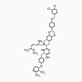 C=C(/C=C\C=C(/N)CN1Cc2cc3c(cc2CC1C(=O)NC(Cc1ccc(Oc2ccnc(C)c2C)cc1)C(=O)O)OC[C@H](c1ccc(OCc2ccc(Cl)c(Cl)c2)cc1)O3)OC